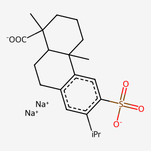 CC(C)c1cc2c(cc1S(=O)(=O)[O-])C1(C)CCCC(C)(C(=O)[O-])C1CC2.[Na+].[Na+]